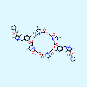 Cc1nn(Cc2ccc(C[C@H]3OC(=O)[C@H](CC(C)C)N(C)C(=O)[C@@H](C)OC(=O)[C@H](CC(C)C)N(C)C(=O)[C@@H](Cc4ccc(Cn5nc(C)c(S(=O)(=O)N6CCCC6)c5C)cc4)OC(=O)[C@H](CC(C)C)N(C)C(=O)[C@@H](C)OC(=O)[C@H](CC(C)C)N(C)C3=O)cc2)c(C)c1S(=O)(=O)N1CCCC1